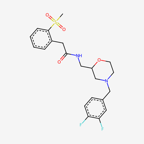 CS(=O)(=O)c1ccccc1CC(=O)NCC1CN(Cc2ccc(F)c(F)c2)CCO1